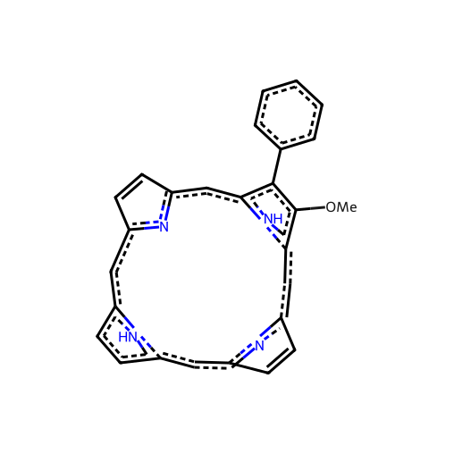 COc1c(-c2ccccc2)c2cc3nc(cc4ccc(cc5nc(cc1[nH]2)C=C5)[nH]4)C=C3